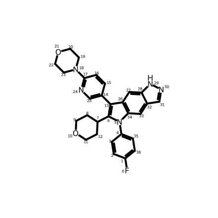 Fc1ccc(-n2c(C3CCOCC3)c(-c3ccc(N4CCOCC4)nc3)c3cc4[nH]ncc4cc32)cc1